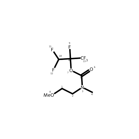 COCCN(C)C(=O)OC(F)(C(F)F)C(F)(F)F